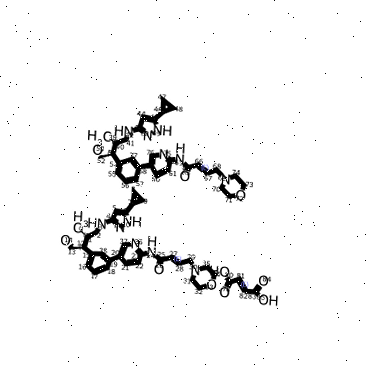 C[C@H](CNc1cc(C2CC2)[nH]n1)[C@H](C=O)c1cccc(-c2ccc(NC(=O)/C=C/CN3CCOCC3)nc2)c1.C[C@H](CNc1cc(C2CC2)[nH]n1)[C@H](C=O)c1cccc(-c2ccc(NC(=O)/C=C/CN3CCOCC3)nc2)c1.O=C(O)/C=C/C(=O)O